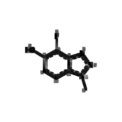 Cn1nnc2c(F)c(O)ccc21